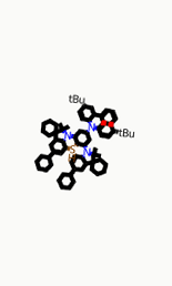 CC(C)(C)C1C=CC(N(C2CC3C4C(C2)N2C5C(C=C(C6CCCCC6)CC5C5(CCCCC5)C2(C)C)[SH]4C2=CC(C4CCCCC4)CC4C2N3C(C)(C)C42CCCCC2)C2C=CC(C(C)(C)C)CC2C2=CC=CCC2)=CC1